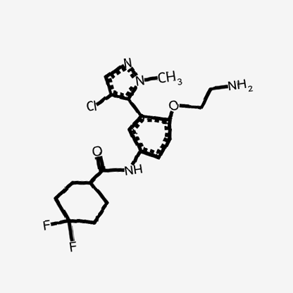 Cn1ncc(Cl)c1-c1cc(NC(=O)C2CCC(F)(F)CC2)ccc1OCCN